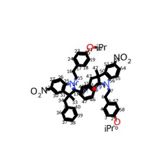 CC(C)Oc1ccc(CCN2/C(=C/C=C/C3=[N+](CCc4ccc(OC(C)C)cc4)c4ccc([N+](=O)[O-])cc4C3(C)Cc3ccccc3)C(C)(Cc3ccccc3)c3cc([N+](=O)[O-])ccc32)cc1